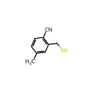 Cc1ccc(C#N)c(CS)c1